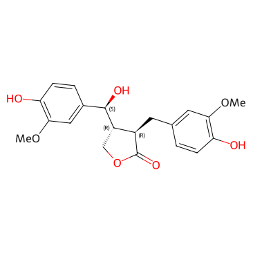 COc1cc(C[C@H]2C(=O)OC[C@@H]2[C@H](O)c2ccc(O)c(OC)c2)ccc1O